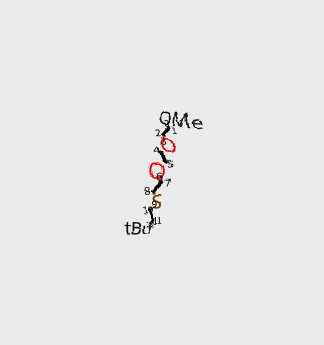 COCCOCCOCCSCCC(C)(C)C